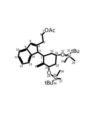 C=C1C(C2C(CCOC(C)=O)=Cc3ccccc32)C[C@@H](O[Si](C)(C)C(C)(C)C)C[C@H]1O[Si](C)(C)C(C)(C)C